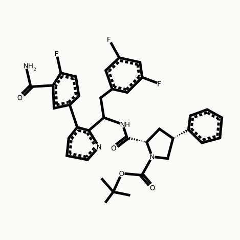 CC(C)(C)OC(=O)N1C[C@@H](c2ccccc2)C[C@H]1C(=O)NC(Cc1cc(F)cc(F)c1)c1ncccc1-c1ccc(F)c(C(N)=O)c1